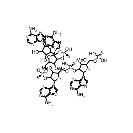 COC1C(COP(O)(O)=S)OC(n2cnc3c(N)ncnc32)C1OP(O)(=S)OCC1OC(n2cnc3c(N)ncnc32)C(OP(O)(=S)OCC2OC(n3cnc4c(N)ncnc43)C(OP(O)(=S)OCC3OC(n4cnc5c(N)ncnc54)C(O)C3O)C2OC)C1OC